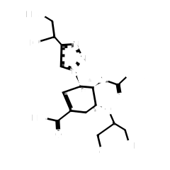 CCC(CC)O[C@@H]1CC(C(=O)O)=C[C@@H](n2cc(C(O)CC)nn2)[C@H]1NC(C)=O